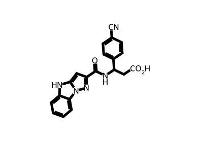 N#Cc1ccc(C(CC(=O)O)NC(=O)c2cc3[nH]c4ccccc4n3n2)cc1